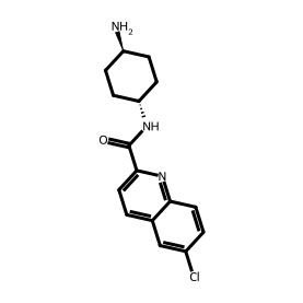 N[C@H]1CC[C@H](NC(=O)c2ccc3cc(Cl)ccc3n2)CC1